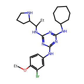 CCOc1ccc(Nc2nc(NC3CCCCCC3)nc(NC(CC)C3CCCN3)n2)cc1Br